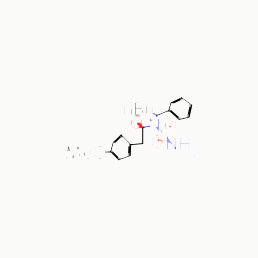 CCCCC(c1ccccc1)N(C(=O)Cc1ccc(OC)cc1)S(N)(=O)=O